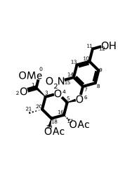 COC(=O)[C@H]1O[C@@H](Oc2ccc(CO)cc2[N+](=O)[O-])[C@H](OC(C)=O)[C@@H](OC(C)=O)[C@@H]1C